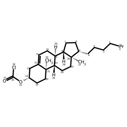 CC(C)CCCC[C@H]1CC[C@H]2[C@@H]3CC=C4C[C@@H](OC(=O)Cl)CC[C@]4(C)[C@H]3CC[C@]12C